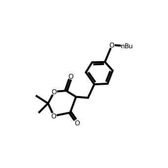 CCCCOc1ccc(CC2C(=O)OC(C)(C)OC2=O)cc1